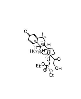 CCOP(=O)(CO[C@]1(C(=O)CO)CC[C@H]2[C@@H]3C[C@H](C)C4=CC(=O)C=C[C@]4(C)[C@H]3[C@@H](O)C[C@@]21C)OCC